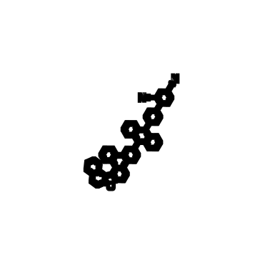 N#Cc1ccc(-c2ccc(-c3c4ccccc4c(-c4ccc5c(c4)c4ccccc4c4c5ccc5oc6ccc7ccccc7c6c54)c4ccccc34)cc2)c(C#N)c1